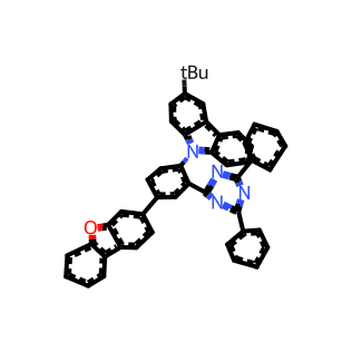 CC(C)(C)c1ccc2c(c1)c1ccccc1n2-c1ccc(-c2ccc3c(c2)oc2ccccc23)cc1-c1nc(-c2ccccc2)nc(-c2ccccc2)n1